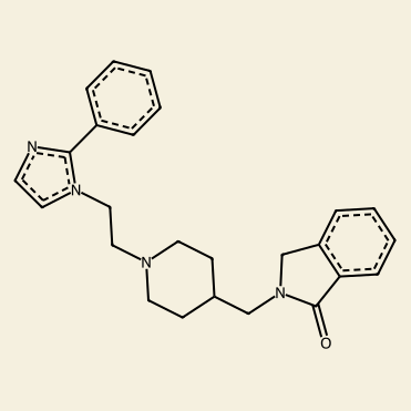 O=C1c2ccccc2CN1CC1CCN(CCn2ccnc2-c2ccccc2)CC1